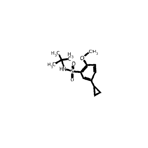 COc1ccc(C2CC2)cc1S(=O)(=O)NC(C)(C)C